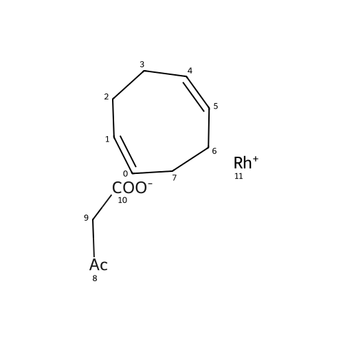 C1=C\CC/C=C\CC/1.CC(=O)CC(=O)[O-].[Rh+]